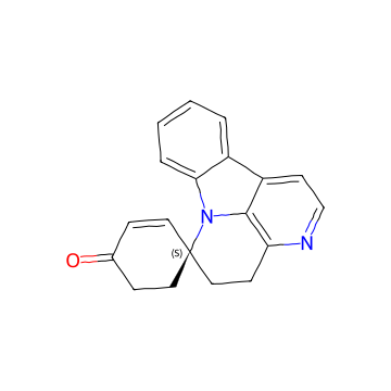 O=C1C=C[C@@]2(CC1)CCc1nccc3c4ccccc4n2c13